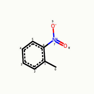 Cc1[c]cccc1[N+](=O)[O-]